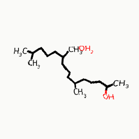 CC(C)CCCC(C)CCCC(C)CCCC(C)O.O